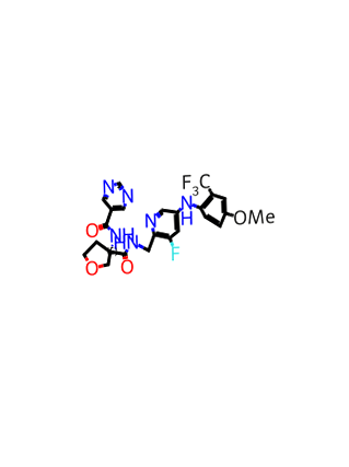 COc1ccc(Nc2cnc(CNC(=O)[C@]3(NC(=O)c4cncnc4)CCOC3)c(F)c2)c(C(F)(F)F)c1